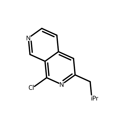 CC(C)Cc1cc2ccncc2c(Cl)n1